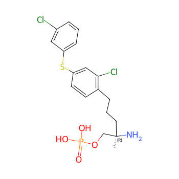 C[C@@](N)(CCCc1ccc(Sc2cccc(Cl)c2)cc1Cl)COP(=O)(O)O